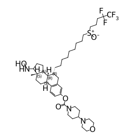 C[C@]12CC[C@@H]3c4ccc(OC(=O)N5CCC(N6CCOCC6)CC5)cc4C[C@@H](CCCCCCCCC[S+]([O-])CCCC(F)(F)C(F)(F)F)[C@H]3[C@@H]1CCC2NO